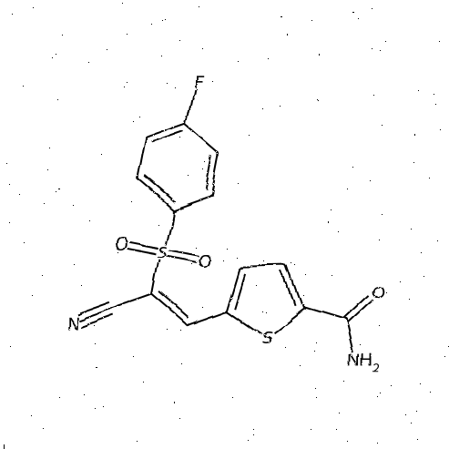 N#C/C(=C/c1ccc(C(N)=O)s1)S(=O)(=O)c1ccc(F)cc1